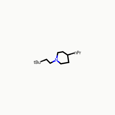 CCCC1CCN(CCC(C)(C)C)CC1